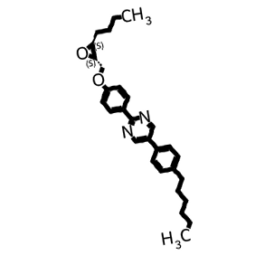 CCCCCCc1ccc(-c2cnc(-c3ccc(OC[C@@H]4O[C@H]4CCCC)cc3)nc2)cc1